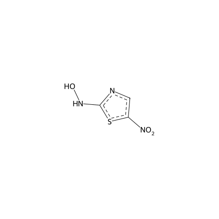 O=[N+]([O-])c1cnc(NO)s1